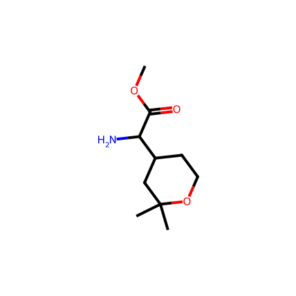 COC(=O)C(N)C1CCOC(C)(C)C1